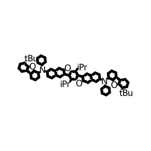 CC(C)c1c2oc3cc4cc(N(c5ccccc5)c5cccc6c5oc5c(C(C)(C)C)cccc56)ccc4cc3c2c(C(C)C)c2oc3cc4cc(N(c5ccccc5)c5cccc6c5oc5c(C(C)(C)C)cccc56)ccc4cc3c12